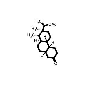 CC(=O)OC(C)[C@@]1(C)CC[C@H]2[C@@H](CC[C@H]3CC(=O)CC[C@@H]32)[C@@H]1C